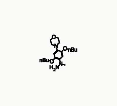 CCCCOc1cc(N2CCOCC2)c(OCCCC)cc1N(C)N